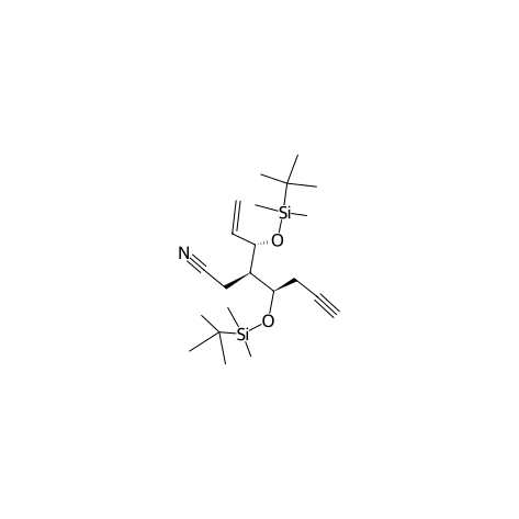 C#CC[C@@H](O[Si](C)(C)C(C)(C)C)[C@@H](CC#N)[C@H](C=C)O[Si](C)(C)C(C)(C)C